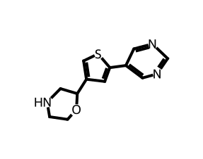 c1ncc(-c2cc(C3CNCCO3)cs2)cn1